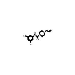 C=CCN1CCN(C(=O)Nc2cc(Cl)cc(Cl)c2)CC1